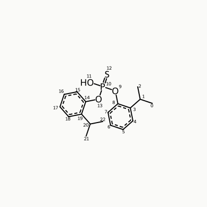 CC(C)c1ccccc1OP(O)(=S)Oc1ccccc1C(C)C